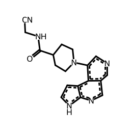 N#CCNC(=O)C1CCN(c2cncc3cnc4[nH]ccc4c23)CC1